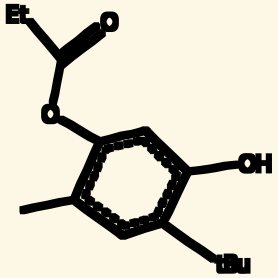 CCC(=O)Oc1cc(O)c(C(C)(C)C)cc1C